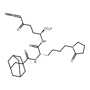 [N-]=[N+]=CC(=O)CC[C@H](NC(=O)[C@H](CCCCN1CCCC1=O)NC(=O)C12CC3CC(CC(C3)C1)C2)C(=O)O